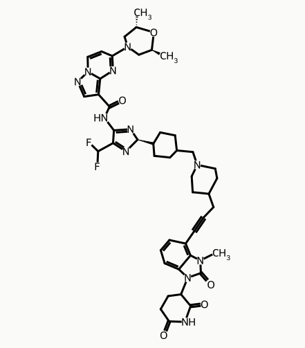 C[C@H]1CN(c2ccn3ncc(C(=O)NC4=N[C@@H](C5CCC(CN6CCC(CC#Cc7cccc8c7n(C)c(=O)n8C7CCC(=O)NC7=O)CC6)CC5)N=C4C(F)F)c3n2)C[C@H](C)O1